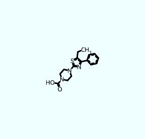 CCc1sc(N2CCN(C(=O)O)CC2)nc1-c1ccccc1